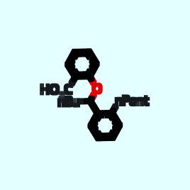 CCCCCc1ccccc1C(CCCC)Oc1ccccc1C(=O)O